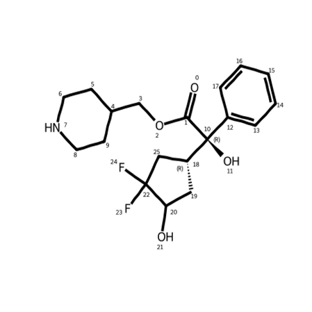 O=C(OCC1CCNCC1)[C@](O)(c1ccccc1)[C@@H]1CC(O)C(F)(F)C1